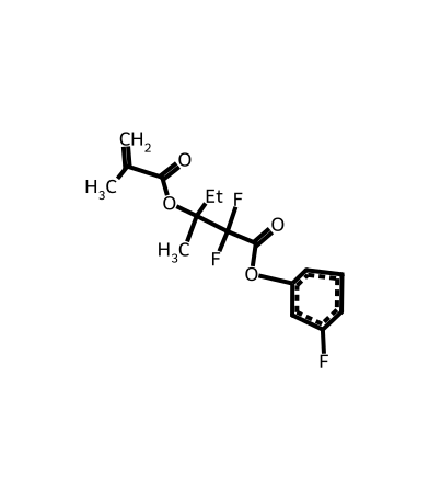 C=C(C)C(=O)OC(C)(CC)C(F)(F)C(=O)Oc1cccc(F)c1